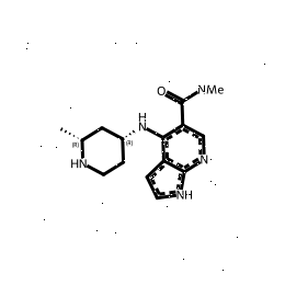 CNC(=O)c1cnc2[nH]ccc2c1N[C@@H]1CCN[C@H](C)C1